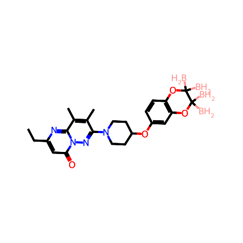 BC1(B)Oc2ccc(OC3CCN(c4nn5c(=O)cc(CC)nc5c(C)c4C)CC3)cc2OC1(B)B